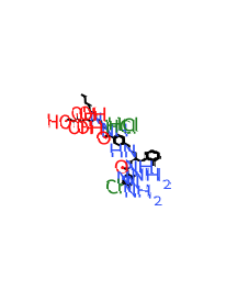 CCCCCCN(CCNC(=O)c1ccc(CNCC(CNC(=O)c2nc(Cl)c(N)nc2N)Cc2ccccc2C)cc1)C[C@H](O)[C@@H](O)[C@H](O)[C@H](O)CO.Cl.Cl